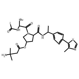 Cc1ncsc1-c1ccc(C(C)NC(=O)C2CC(OC(=O)CC(C)(C)N)CN2C(=O)C(NC(=O)I)C(C)(C)C)cc1